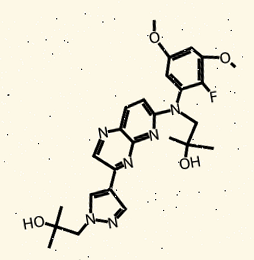 COc1cc(OC)c(F)c(N(CC(C)(C)O)c2ccc3ncc(-c4cnn(CC(C)(C)O)c4)nc3n2)c1